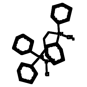 C[PH](CCC[PH](c1ccccc1)(c1ccccc1)N(Cl)Cl)(c1ccccc1)c1ccccc1